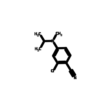 CC(C)N(C)c1ccc(C#N)c(Cl)c1